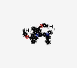 C=Cc1ccc(OCCCCC2(c3ccccc3)c3ccccc3-c3ccc(N(c4ccc(-c5ccc6c(c5)c5cc(-c7ccccc7)ccc5n6-c5ccccc5)cc4)c4ccc5c(c4)C(CCCCOc4ccc(C=C)cc4)(c4ccccc4)c4ccccc4-5)cc32)cc1